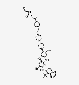 C=P(C)(C)c1c(Nc2nc(Nc3cc(CC)c(N4CCC(N5CCN(CCc6ccc(C(C)CCC(=O)NC=O)cc6)CC5)CC4)cc3OC)ncc2Br)ccc2nccnc12